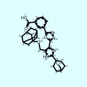 O=C(O)c1cccc(-c2nnc(-c3nc(C45CCC(CC4)CC5)[nH]c3COC34CC5CC(CC(C5)C3)C4)o2)c1